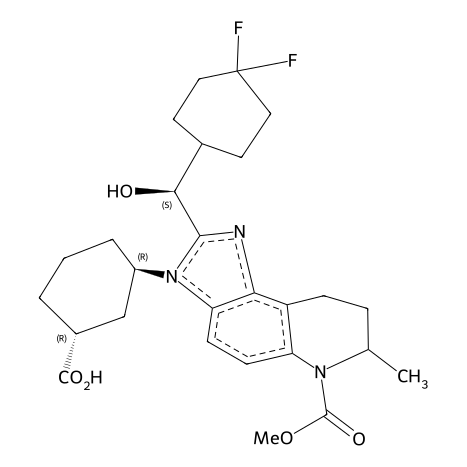 COC(=O)N1c2ccc3c(nc([C@@H](O)C4CCC(F)(F)CC4)n3[C@@H]3CCC[C@@H](C(=O)O)C3)c2CCC1C